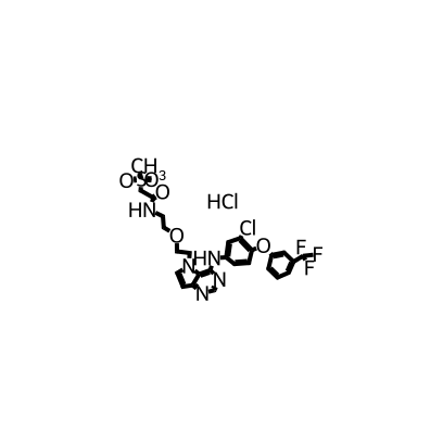 CS(=O)(=O)CC(=O)NCCOCCn1ccc2ncnc(Nc3ccc(Oc4cccc(C(F)(F)F)c4)c(Cl)c3)c21.Cl